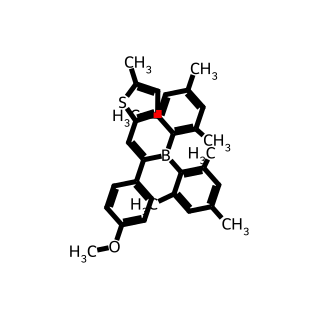 COc1ccc(/C(=C/c2ccc(C)s2)B(c2c(C)cc(C)cc2C)c2c(C)cc(C)cc2C)cc1